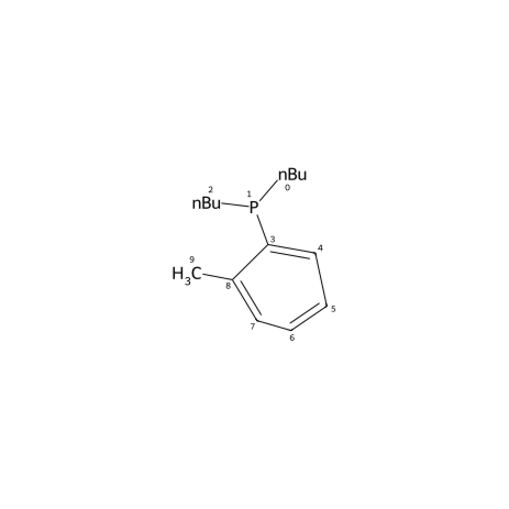 CCCCP(CCCC)c1ccccc1C